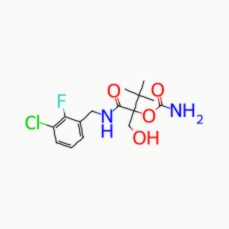 CC(C)(C)C(CO)(OC(N)=O)C(=O)NCc1cccc(Cl)c1F